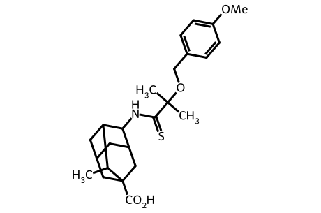 COc1ccc(COC(C)(C)C(=S)NC2C3CC4CC2C(C)C(C(=O)O)(C4)C3)cc1